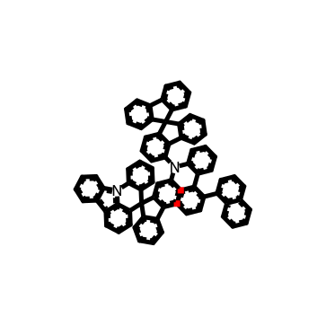 c1ccc(-c2cccc3ccccc23)c(-c2ccccc2N(c2ccc3c(c2)C2(c4ccccc4-3)c3ccccc3-n3c4ccccc4c4cccc2c43)c2cccc3c2-c2ccccc2C32c3ccccc3-c3ccccc32)c1